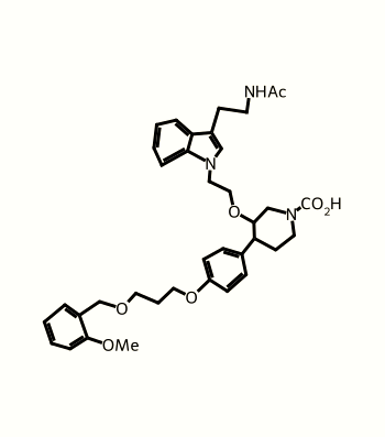 COc1ccccc1COCCCOc1ccc(C2CCN(C(=O)O)CC2OCCn2cc(CCNC(C)=O)c3ccccc32)cc1